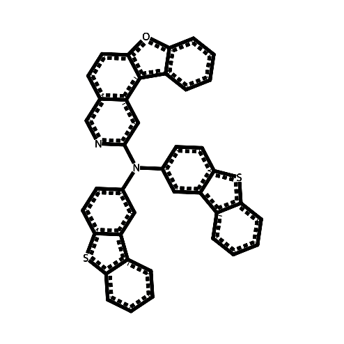 c1ccc2c(c1)oc1ccc3cnc(N(c4ccc5sc6ccccc6c5c4)c4ccc5sc6ccccc6c5c4)cc3c12